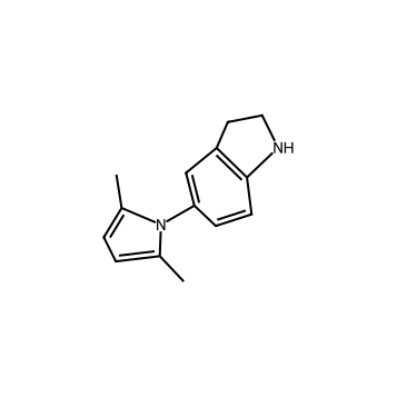 Cc1ccc(C)n1-c1ccc2c(c1)CCN2